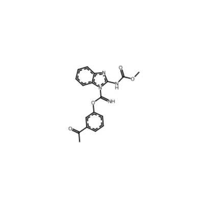 COC(=O)Nc1nc2ccccc2n1C(=N)Oc1cccc(C(C)=O)c1